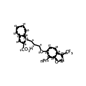 CCCc1c(OCCCn2c(C(=O)O)cc3ccccc32)ccc2c(C(F)(F)F)noc12